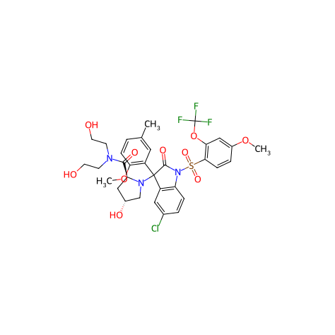 COc1ccc(S(=O)(=O)N2C(=O)C(c3cc(C)ccc3OC)(N3C[C@H](O)C[C@H]3C(=O)N(CCO)CCO)c3cc(Cl)ccc32)c(OC(F)(F)F)c1